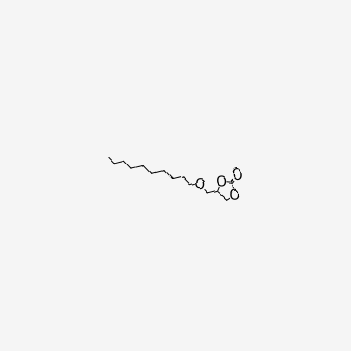 CCCCCCCCCCOCC1COC(=O)O1